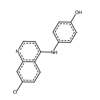 Oc1[c]cc(Nc2ccnc3cc(Cl)ccc23)cc1